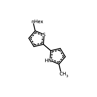 CCCCCCc1ccc(-c2ccc(C)[nH]2)s1